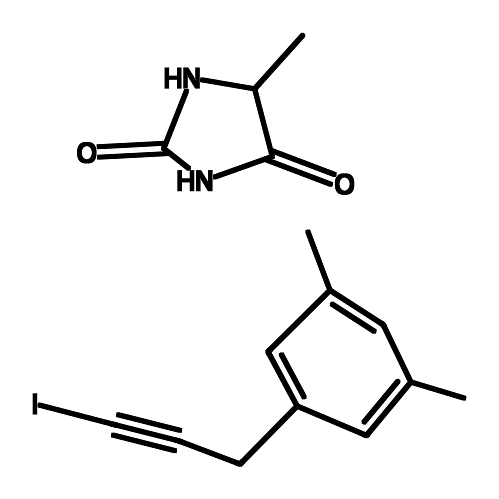 CC1NC(=O)NC1=O.Cc1cc(C)cc(CC#CI)c1